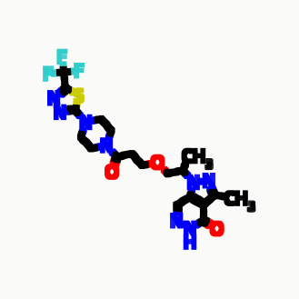 Cc1nn(C(C)COCCC(=O)N2CCN(c3nnc(C(F)(F)F)s3)CC2)c2cn[nH]c(=O)c12